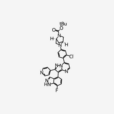 CC(C)(C)OC(=O)N1C[C@@H]2C[C@H]1CN2c1ccc(-c2ccnc3c(-c4ccc(F)c5[nH]ncc45)c(-c4ccncc4)nn23)c(Cl)c1